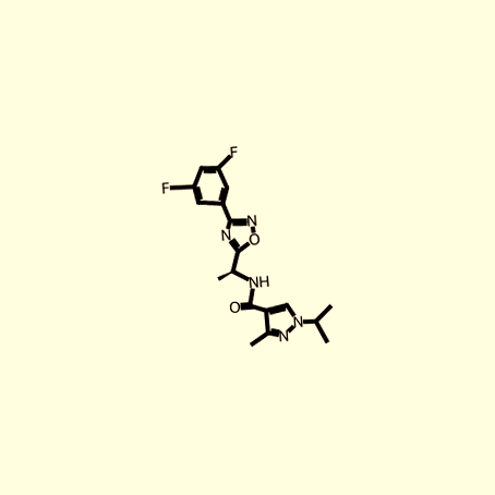 Cc1nn(C(C)C)cc1C(=O)N[C@@H](C)c1nc(-c2cc(F)cc(F)c2)no1